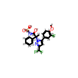 COc1ccc(-c2cc(C(F)F)nn2C(C)(C(=O)N=S(=O)=O)c2ccccc2)cc1F